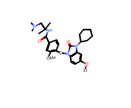 CCOc1ccc2c(c1)n(C1CCCCC1)c(=O)n2Cc1ccc(C(=O)NC(C)(C)CN(C)C)cc1OC